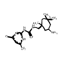 Cc1cc(=O)nc(NC(=O)NCC2(C)CC(N)CC(C)(C)C2)[nH]1